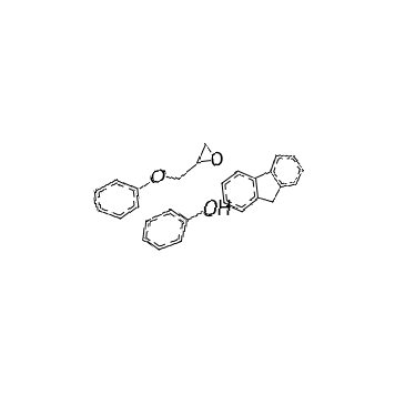 Oc1ccccc1.c1ccc(OCC2CO2)cc1.c1ccc2c(c1)Cc1ccccc1-2